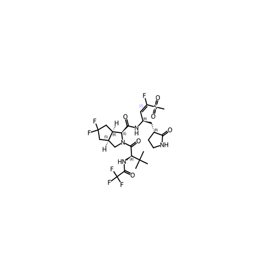 CC(C)(C)[C@@H](NC(=O)C(F)(F)F)C(=O)N1C[C@H]2CC(F)(F)C[C@H]2[C@H]1C(=O)N[C@@H](/C=C(/F)S(C)(=O)=O)C[C@H]1CCNC1=O